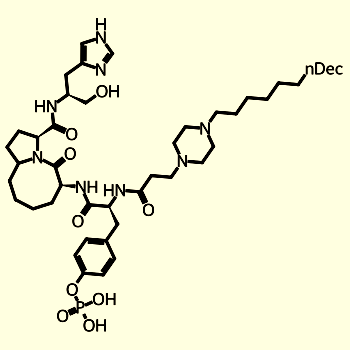 CCCCCCCCCCCCCCCCN1CCN(CCC(=O)N[C@@H](Cc2ccc(OP(=O)(O)O)cc2)C(=O)N[C@H]2CCCCC3CC[C@@H](C(=O)N[C@H](CO)Cc4c[nH]cn4)N3C2=O)CC1